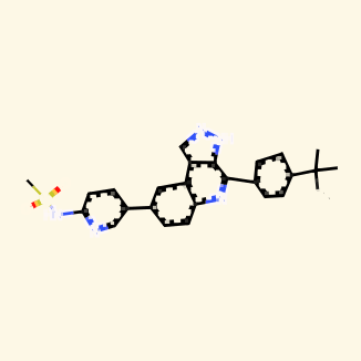 CC(C)(C#N)c1ccc(-c2nc3ccc(-c4ccc(NS(C)(=O)=O)nc4)cc3c3cn[nH]c23)cc1